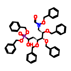 O=CN(C[C@H](OCc1ccccc1)[C@H](OCc1ccccc1)[C@@H](CC(O)P(=O)(OCc1ccccc1)OCc1ccccc1)OCc1ccccc1)OCc1ccccc1